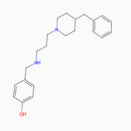 Oc1ccc(CNCCCN2CCC(Cc3ccccc3)CC2)cc1